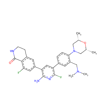 C[C@@H]1CN(c2ccc(-c3cc(-c4cc(F)c5c(c4)CCNC5=O)c(N)nc3F)cc2CN(C)C)C[C@H](C)O1